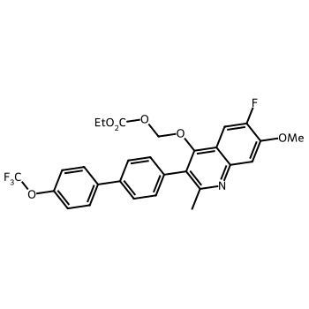 CCOC(=O)OCOc1c(-c2ccc(-c3ccc(OC(F)(F)F)cc3)cc2)c(C)nc2cc(OC)c(F)cc12